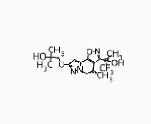 C[C@H]1Cn2nc(OCC(C)(C)O)cc2-c2onc([C@@](C)(O)C(F)(F)F)c21